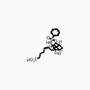 CC1(C)[C@H]2C[C@H](NS(=O)(=O)c3ccccc3)[C@@H](C/C=C\CCCC(=O)O)[C@@H]1C2